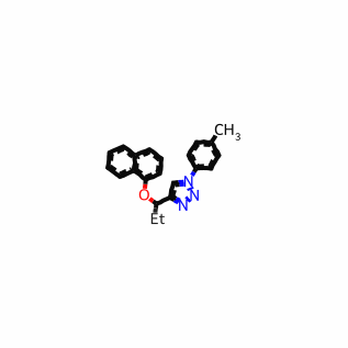 CCC(Oc1cccc2ccccc12)c1cn(-c2ccc(C)cc2)nn1